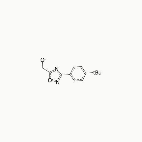 CC(C)(C)c1ccc(-c2noc(C[O])n2)cc1